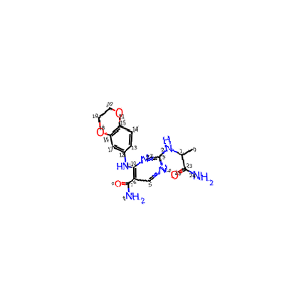 CC(Nc1ncc(C(N)=O)c(Nc2ccc3c(c2)OCCO3)n1)C(N)=O